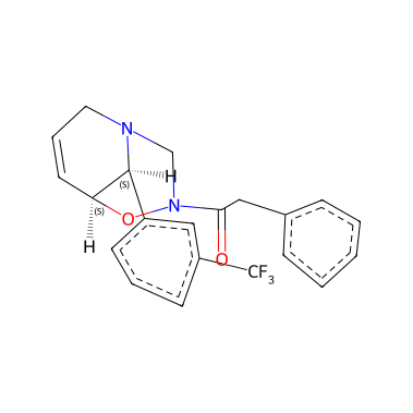 O=C(Cc1ccccc1)N1CN2CC=C[C@H](O1)[C@@H]2c1cccc(C(F)(F)F)c1